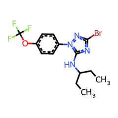 CCC(CC)Nc1nc(Br)nn1-c1ccc(OC(F)(F)F)cc1